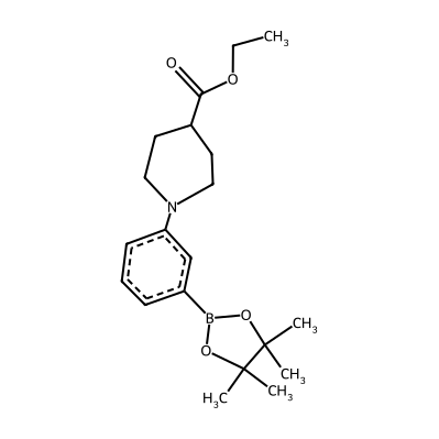 CCOC(=O)C1CCN(c2cccc(B3OC(C)(C)C(C)(C)O3)c2)CC1